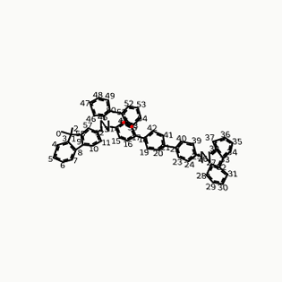 CC1(C)c2ccccc2-c2ccc(N(c3ccc(-c4ccc(-c5ccc(-n6c7ccccc7c7ccccc76)cc5)cc4)cc3)c3ccccc3-c3ccccc3)cc21